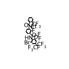 CCN(C(=O)c1ccccc1C(F)(F)F)c1cccc(C(=O)Nc2c(Br)cc(C(F)(C(F)(F)F)C(F)(F)F)cc2OC(F)F)c1F